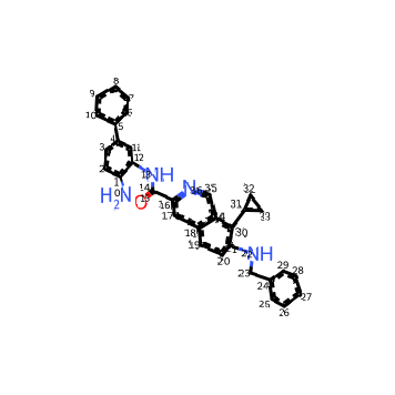 Nc1ccc(-c2ccccc2)cc1NC(=O)c1cc2ccc(NCc3ccccc3)c(C3CC3)c2cn1